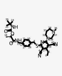 CCc1c(C#N)c(SCc2ccc(CNC(=O)[C@@H](C)OC(=O)NC(C)(C)C)cc2)nc(N2CCCN(C)CC2)c1C#N